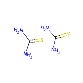 NC(N)=S.NC(N)=S